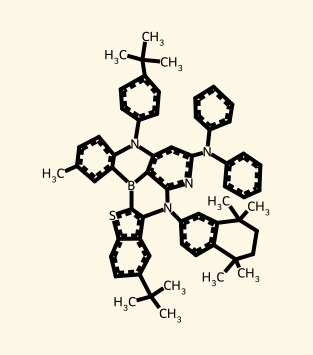 Cc1ccc2c(c1)B1c3sc4ccc(C(C)(C)C)cc4c3N(c3ccc4c(c3)C(C)(C)CCC4(C)C)c3nc(N(c4ccccc4)c4ccccc4)cc(c31)N2c1ccc(C(C)(C)C)cc1